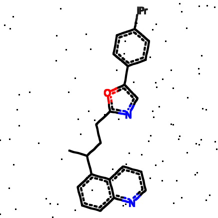 CC(C)c1ccc(-c2cnc(CCC(C)c3cccc4ncccc34)o2)cc1